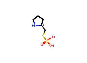 O=P(O)(O)SC[C@@H]1CCCN1